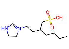 CCCCC(CC[N+]1=CNCC1)CS(=O)(=O)O